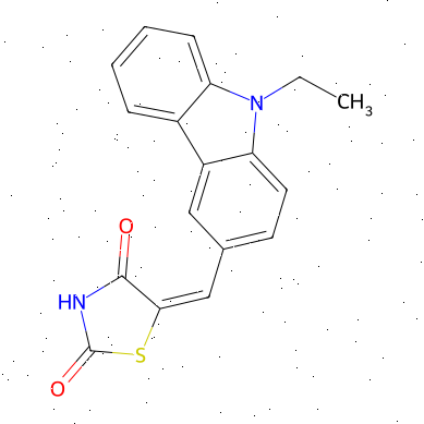 CCn1c2ccccc2c2cc(C=C3SC(=O)NC3=O)ccc21